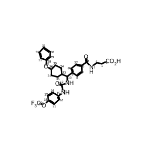 O=C(O)CCNC(=O)c1ccc(C(NC(=O)Nc2ccc(OC(F)(F)F)cc2)C2CCC(Oc3ccccc3)CC2)cc1